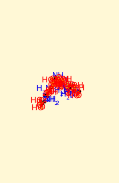 Nc1cc(S(=O)(=O)O)c2cc(S(=O)(=O)O)cc(S(=O)(=O)O)c2c1.Nc1cc(S(=O)(=O)O)c2cccc(S(=O)(=O)O)c2c1.Nc1cc(S(=O)(=O)O)ccc1S(=O)(=O)O.Nc1cc2c(S(=O)(=O)O)cc(S(=O)(=O)O)cc2cc1S(=O)(=O)O.Nc1ccc(S(=O)(=O)O)c2ccccc12.Nc1ccc(S(=O)(=O)O)cc1.Nc1ccc2cc(S(=O)(=O)O)cc(S(=O)(=O)O)c2c1.Nc1ccccc1S(=O)(=O)O